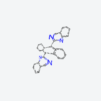 c1ccc2nc(-c3c4ccccc4c(-c4ncc5ccccc5n4)c4ccccc34)ncc2c1